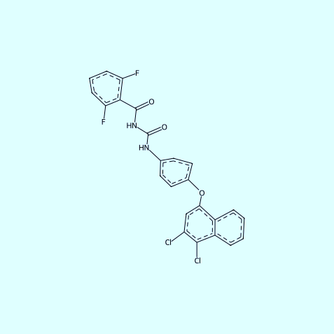 O=C(NC(=O)c1c(F)cccc1F)Nc1ccc(Oc2cc(Cl)c(Cl)c3ccccc23)cc1